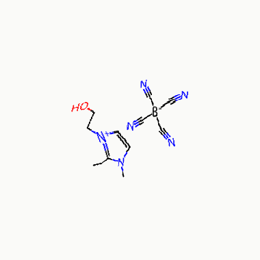 Cc1n(C)cc[n+]1CCO.N#C[B-](C#N)(C#N)C#N